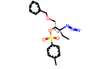 CC[C@H](N=[N+]=[N-])[C@@H](COCc1ccccc1)OS(=O)(=O)c1ccc(C)cc1